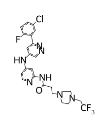 O=C(CCN1CCN(CC(F)(F)F)CC1)Nc1cc(Nc2cnnc(-c3cc(Cl)ccc3F)c2)ccn1